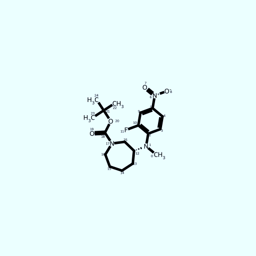 CN(c1ccc([N+](=O)[O-])cc1F)[C@@H]1CCCCN(C(=O)OC(C)(C)C)C1